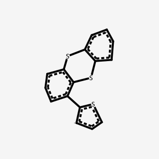 [c]1ccsc1-c1cccc2c1Sc1ccccc1S2